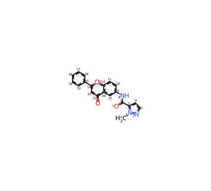 Cn1nccc1C(=O)Nc1ccc2oc(-c3ccccc3)cc(=O)c2c1